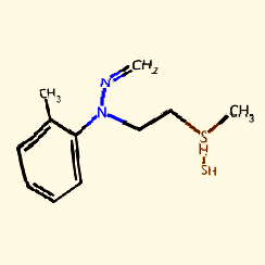 C=NN(CC[SH](C)S)c1ccccc1C